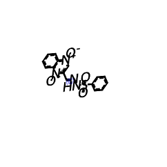 O=S(=O)(N/N=C/c1c[n+]([O-])c2ccccc2[n+]1[O-])c1ccccc1